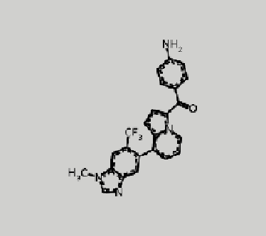 Cn1cnc2cc(-c3cccn4c(C(=O)c5ccc(N)cc5)ccc34)c(C(F)(F)F)cc21